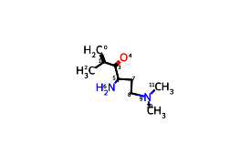 C=C(C)C(=O)[C](N)CCN(C)C